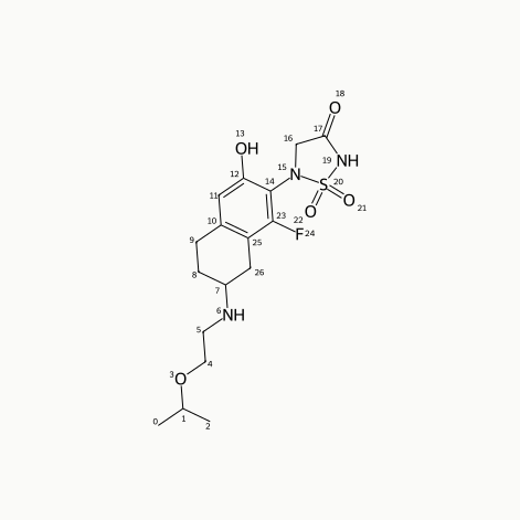 CC(C)OCCNC1CCc2cc(O)c(N3CC(=O)NS3(=O)=O)c(F)c2C1